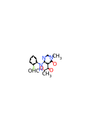 CC(OC=O)C(=O)c1c(Nc2ccccc2F)ncn(C)c1=O